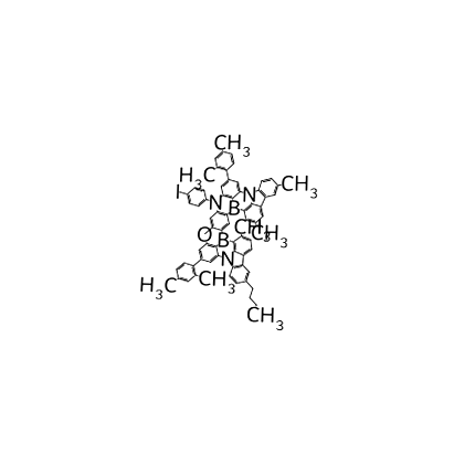 CCCCc1ccc2c(c1)c1ccc(C)c3c1n2-c1cc(-c2ccc(C)cc2C)cc2c1B3c1cc3c(cc1O2)N(c1ccc(I)cc1)c1cc(-c2ccc(C)cc2C)cc2c1B3c1cc(C)cc3c4cc(C)ccc4n-2c13